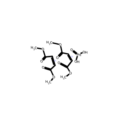 COC(=O)/C=C\C(=O)OC.COC(=O)/C=C\C(=O)OC.O=[PH](O)O